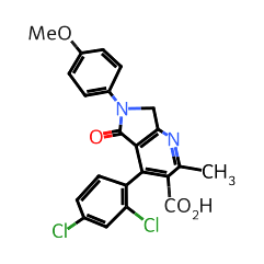 COc1ccc(N2Cc3nc(C)c(C(=O)O)c(-c4ccc(Cl)cc4Cl)c3C2=O)cc1